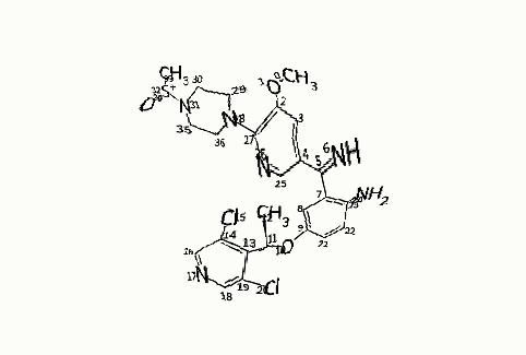 COc1cc(C(=N)c2cc(O[C@H](C)c3c(Cl)cncc3Cl)ccc2N)cnc1N1CCN([S+](C)[O-])CC1